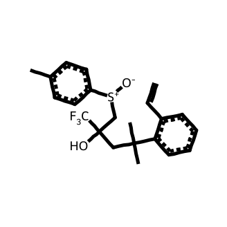 C=Cc1ccccc1C(C)(C)CC(O)(C[S+]([O-])c1ccc(C)cc1)C(F)(F)F